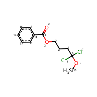 O=C(OCCCC(Cl)(Cl)O[SiH3])c1ccccc1